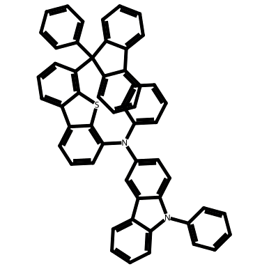 c1ccc(N(c2ccc3c(c2)c2ccccc2n3-c2ccccc2)c2cccc3c2sc2c(C4(c5ccccc5)c5ccccc5-c5ccccc54)cccc23)cc1